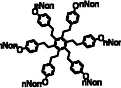 CCCCCCCCCOc1ccc(CCc2c(CCc3ccc(OCCCCCCCCC)cc3)c(CCc3ccc(OCCCCCCCCC)cc3)c(CCc3ccc(OCCCCCCCCC)cc3)c(CCc3ccc(OCCCCCCCCC)cc3)c2CCc2ccc(OCCCCCCCCC)cc2)cc1